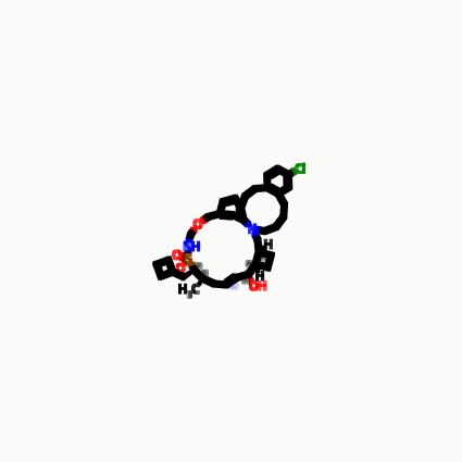 C[C@H]1C/C=C/[C@H](O)[C@@H]2CC[C@H]2CN2CCCCc3cc(Cl)ccc3CCc3ccc(cc32)COCNS(=O)(=O)[C@@H]1CC1CCC1